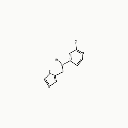 CCN(Cc1cnc[nH]1)c1ccnc(Cl)c1